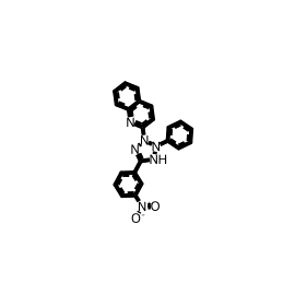 O=[N+]([O-])c1cccc(C2=NN(c3ccc4ccccc4n3)N(c3ccccc3)N2)c1